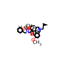 COc1ccc2c3c1O[C@@H]1C34CCN(CC3CC3)C(C2)[C@]42CC[C@@]1(OC)[C@@H](CN(Cc1ccccc1)S(C)(=O)=O)C2